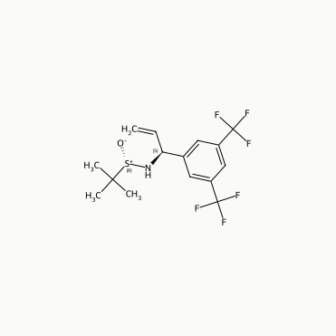 C=C[C@H](N[S@@+]([O-])C(C)(C)C)c1cc(C(F)(F)F)cc(C(F)(F)F)c1